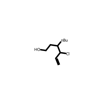 C=CC(Cl)C(CCO)CCCC